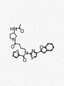 CC(=O)NC1CCN(C(=O)CCCN(C(=O)c2cccs2)c2nc(-c3cc4ccccc4o3)cs2)C1